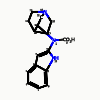 O=C(O)N(c1cc2ccccc2[nH]1)C1CN2CCC1CC2